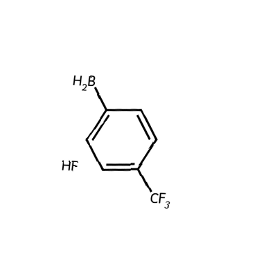 Bc1ccc(C(F)(F)F)cc1.F